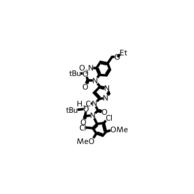 CCOCc1ccc(N(C(=O)OC(C)(C)C)c2cc(N(C)C(=O)N(C(=O)OC(C)(C)C)c3c(Cl)c(OC)cc(OC)c3Cl)ncn2)c([N+](=O)[O-])c1